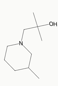 CC1CCCN(CC(C)(C)O)C1